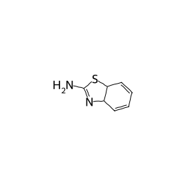 NC1=NC2C=CC=CC2S1